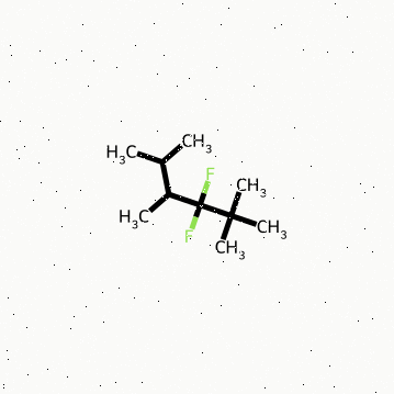 CC(C)C(C)C(F)(F)C(C)(C)C